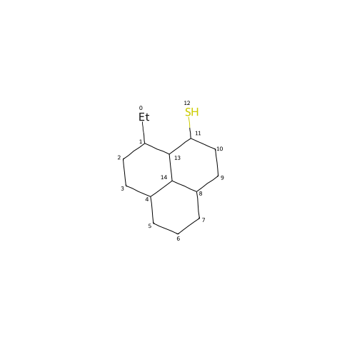 CCC1CCC2CCCC3CCC(S)C1C32